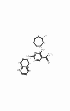 C[C@H]1CCCC[C@@H](Nc2nc(N[C@H]3CCc4ncccc4C3)ncc2C(N)=O)C1